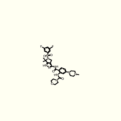 CN1CCN(c2ccc(C(=O)Nc3n[nH]c4c3CN(S(=O)(=O)c3cc(F)cc(F)c3)C4(C)C)c(NC(=O)N3CCOCC3)c2)CC1